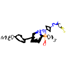 COc1ccc(-c2ccc(P(C)(=O)N[C@H]3C[C@@H](N=C=S)C3)nc2)cc1